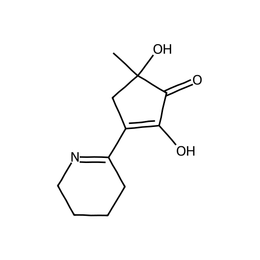 CC1(O)CC(C2=NCCCC2)=C(O)C1=O